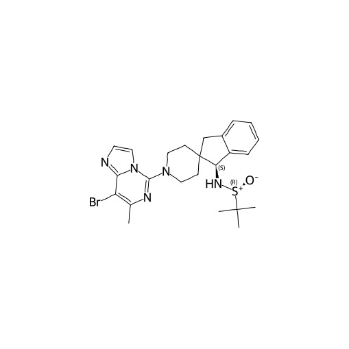 Cc1nc(N2CCC3(CC2)Cc2ccccc2[C@H]3N[S@@+]([O-])C(C)(C)C)n2ccnc2c1Br